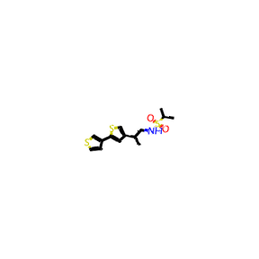 CC(CNS(=O)(=O)C(C)C)c1csc(-c2ccsc2)c1